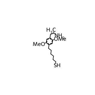 COc1cc(CC(C)N)c(OC)cc1CCCCCCS